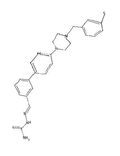 NC(=S)N/N=C/c1cccc(-c2ccc(N3CCN(Cc4cccc(F)c4)CC3)nc2)c1